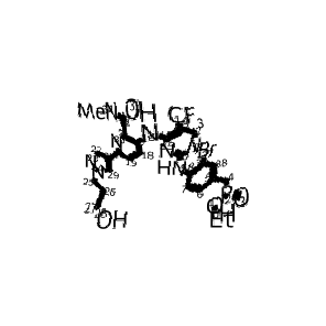 CCO[PH](=O)Cc1ccc(Nc2ncc(C(F)(F)F)c(Nc3ccc(-c4cnn(CCCO)c4)nc3C(=O)NC)n2)c(Br)c1